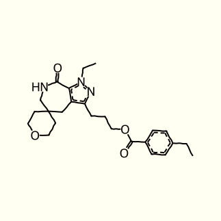 CCc1ccc(C(=O)OCCCc2nn(CC)c3c2CC2(CCOCC2)CNC3=O)cc1